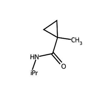 CC(C)NC(=O)C1(C)CC1